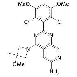 COc1cc(OC)c(Cl)c(-c2nc(N3CC(C)(OC)C3)c3cc(N)ncc3n2)c1Cl